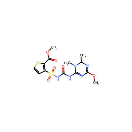 COC(=O)c1sccc1S(=O)(=O)NC(=O)NC1=NC(OC)=NC(C)N1C